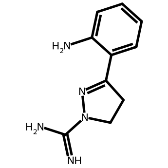 N=C(N)N1CCC(c2ccccc2N)=N1